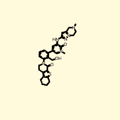 CN1CCn2nc(Nc3cc(-c4cccc(N5CCc6c(sc7c6CCCC7)C5=O)c4CO)cn(C)c3=O)cc2C1